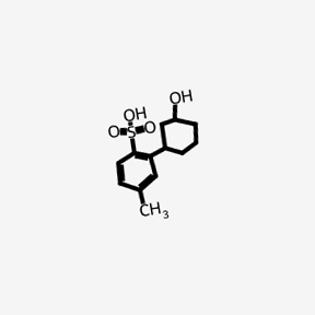 Cc1ccc(S(=O)(=O)O)c(C2CCCC(O)C2)c1